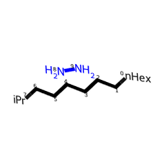 CCCCCCCCCCCCC(C)C.NN